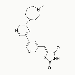 CN1CCCN(c2cncc(-c3cncc(/C=C4\SC(=O)NC4=O)c3)n2)CC1